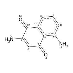 NC1=CC(=O)c2c(N)cccc2C1=O